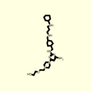 Nc1cc(N2CCN(CCOCCO)CC2)nc(NCC2CCC(CNCCCNC3CCCCC3)CC2)n1